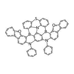 c1ccc(N2c3cc4c5c6c3B(c3cccc7c3N6c3c(cccc3B5c3c(ccc5c3oc3ccccc35)N4c3ccccc3)S7)c3c2ccc2c3oc3ccccc32)cc1